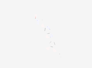 COc1cc(-c2nc3cnc(OC[C@H](C)NC(C)=O)cc3o2)ccc1OC[C@H]1CC1(F)F